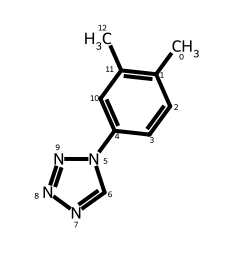 Cc1ccc(-n2cnnn2)cc1C